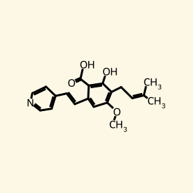 COc1cc(/C=C/c2ccncc2)c(C(=O)O)c(O)c1CC=C(C)C